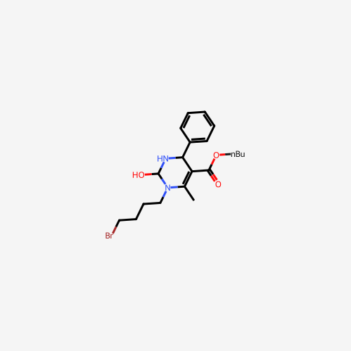 CCCCOC(=O)C1=C(C)N(CCCCBr)C(O)NC1c1ccccc1